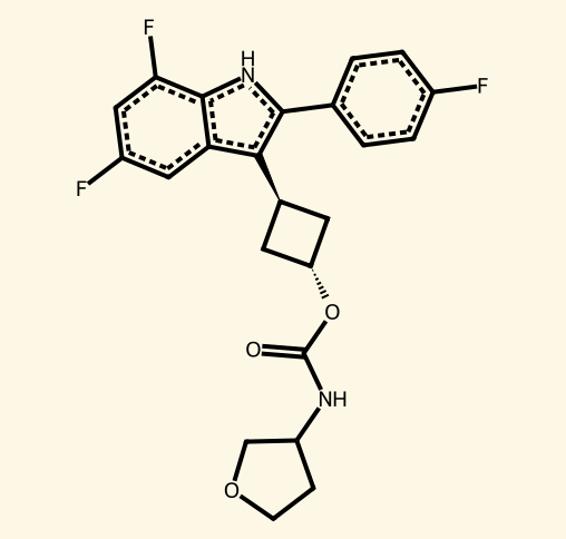 O=C(NC1CCOC1)O[C@H]1C[C@H](c2c(-c3ccc(F)cc3)[nH]c3c(F)cc(F)cc32)C1